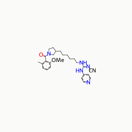 COc1cccc(C)c1C(=O)N1CCC(CCCCCCN/C(=N/C#N)Nc2ccncc2)C1